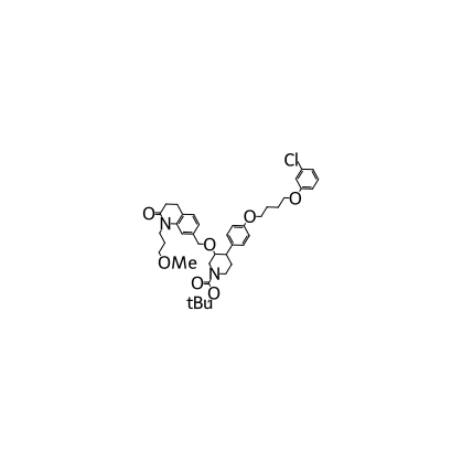 COCCCN1C(=O)CCc2ccc(COC3CN(C(=O)OC(C)(C)C)CCC3c3ccc(OCCCCOc4cccc(Cl)c4)cc3)cc21